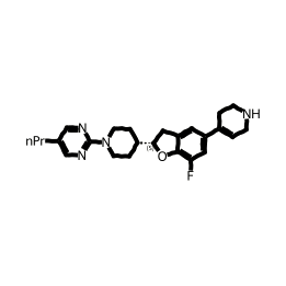 CCCc1cnc(N2CCC([C@@H]3Cc4cc(C5=CCNCC5)cc(F)c4O3)CC2)nc1